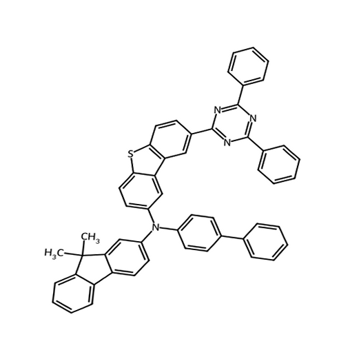 CC1(C)c2ccccc2-c2ccc(N(c3ccc(-c4ccccc4)cc3)c3ccc4sc5ccc(-c6nc(-c7ccccc7)nc(-c7ccccc7)n6)cc5c4c3)cc21